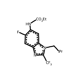 CCOC(=O)Nc1cc2c(cc1F)nc(C(F)(F)F)n2CC(C)C